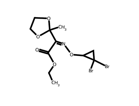 CCOC(=O)C(=NOC1CC1(Br)Br)C1(C)OCCO1